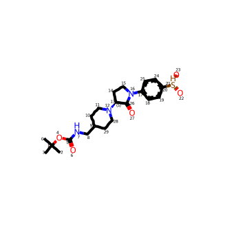 CC(C)(C)OC(=O)NCC1CCN([C@H]2CCN(c3ccc([SH](=O)=O)cc3)C2=O)CC1